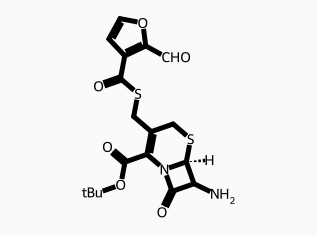 CC(C)(C)OC(=O)C1=C(CSC(=O)c2ccoc2C=O)CS[C@H]2C(N)C(=O)N12